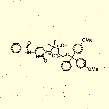 COc1ccc(C(OC[C@H]2O[C@@H](n3ccc(NC(=O)c4ccccc4)nc3=O)C(F)(F)[C@@H]2O)(c2ccccc2)c2ccc(OC)cc2)cc1